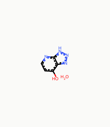 O.Oc1ccnc2[nH]nnc12